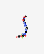 COc1ccc(COc2c(F)cc(C(=O)NCC3CCC(n4cc5ccc(-c6cnc(N7CCN(C8COC9(CCN(C(=O)OC(C)(C)C)CC9)C8)CC7)cn6)cc5n4)CC3)c(F)c2F)cc1